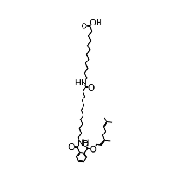 CC(C)=CCCC(C)=CCOC(=O)c1ccccc1C(=O)NCCCCCCCCCCCC(=O)NCCCCCCCCCCCC(=O)O